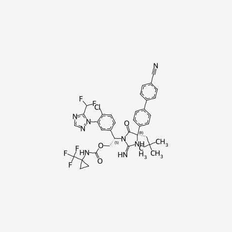 CC(C)(C)C[C@]1(c2ccc(-c3ccc(C#N)cc3)cc2)NC(=N)N([C@H](COC(=O)NC2(C(F)(F)F)CC2)c2ccc(Cl)c(-n3ncnc3C(F)F)c2)C1=O